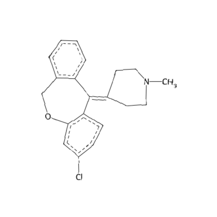 CN1CCC(=C2c3ccccc3COc3cc(Cl)ccc32)CC1